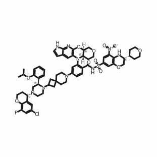 CC(C)Oc1ccccc1[C@@H]1CN([C@H]2CCOc3c(F)cc(Cl)cc32)CCN1C1CC2(CCN(c3ccc(C(=O)NS(=O)(=O)c4cc5c(c([N+](=O)[O-])c4)N[C@H](C4CCOCC4)CO5)c(N4c5cc6cc[nH]c6nc5O[C@H]5COCC[C@@H]54)c3)CC2)C1